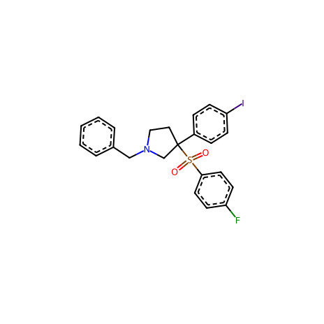 O=S(=O)(c1ccc(F)cc1)C1(c2ccc(I)cc2)CCN(Cc2ccccc2)C1